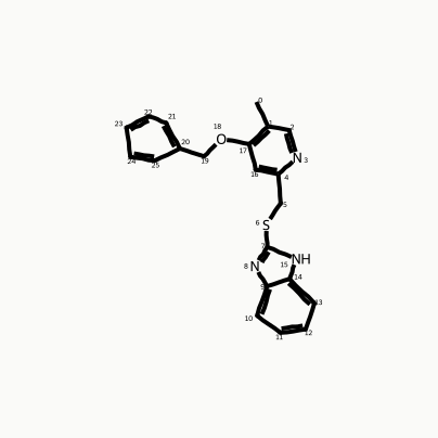 Cc1cnc(CSc2nc3ccccc3[nH]2)cc1OCc1ccccc1